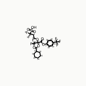 O=C(OC(OCCC(F)(F)S(=O)(=O)O)(C(=O)Oc1ccc(C(F)(F)F)cc1)C(F)(F)F)C1CCCCC1